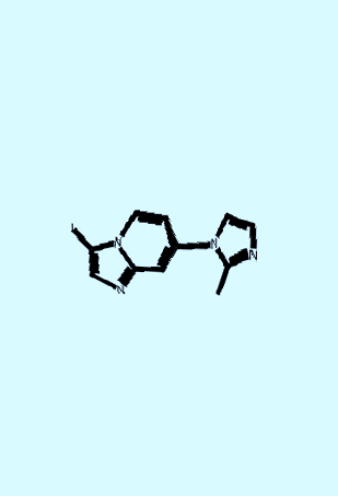 Cc1nccn1-c1ccn2c(I)cnc2c1